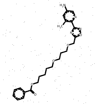 Cc1cc(N)cnc1-c1noc(COCCCOCCCCCOC(=O)c2ccccc2)n1